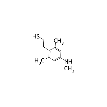 CNc1cc(C)c(CCS)c(C)c1